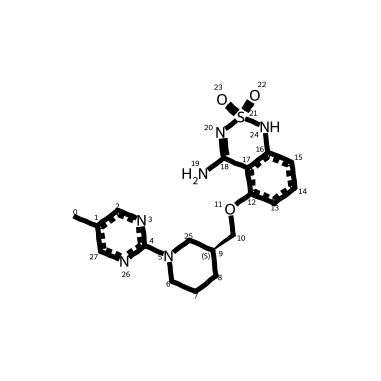 Cc1cnc(N2CCC[C@H](COc3cccc4c3C(N)=NS(=O)(=O)N4)C2)nc1